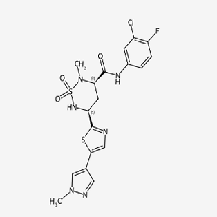 CN1[C@@H](C(=O)Nc2ccc(F)c(Cl)c2)C[C@@H](c2ncc(-c3cnn(C)c3)s2)NS1(=O)=O